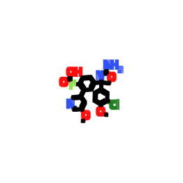 COc1cncc(-c2cc(C3(c4ccc(OC)c(Cl)c4)COC(N)=N3)ccc2F)c1.O=CO